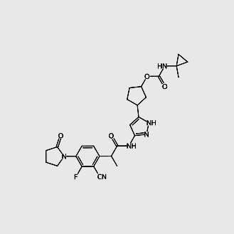 CC(C(=O)Nc1cc(C2CCC(OC(=O)NC3(C)CC3)C2)[nH]n1)c1ccc(N2CCCC2=O)c(F)c1C#N